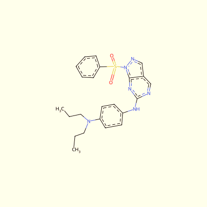 CCCN(CCC)c1ccc(Nc2ncc3cnn(S(=O)(=O)c4ccccc4)c3n2)cc1